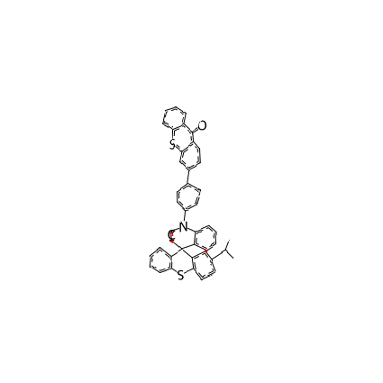 CC(C)c1ccc2c(c1)C1(c3ccccc3S2)c2ccccc2N(c2ccc(-c3ccc4c(=O)c5ccccc5sc4c3)cc2)c2ccccc21